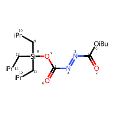 CC(C)COC(=O)N=NC(=O)O[Si](CC(C)C)(CC(C)C)CC(C)C